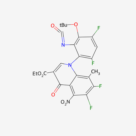 CCOC(=O)c1cn(-c2c(F)cc(F)c(OC(C)(C)C)c2N=C=O)c2c(C)c(F)c(F)c([N+](=O)[O-])c2c1=O